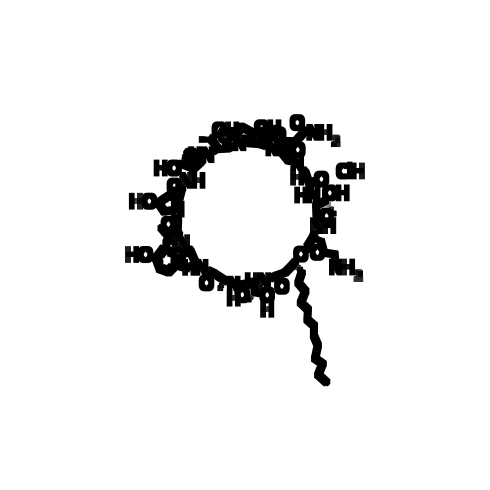 CCCCCCCCCCCCC[C@@H]1CC(=O)N[C@H]([C@@H](C)O)C(=O)N[C@H](C)C(=O)N[C@@H](Cc2ccc(O)cc2)C(=O)N[C@@H](C(C)C)C(=O)N2C[C@H](O)C[C@H]2C(=O)N[C@H]([C@@H](C)O)C(=O)N[C@@H]([C@@H](C)O)C(=O)N2CC[C@H](O)[C@H]2C(=O)N[C@@H]([C@H](O)CC(N)=O)C(=O)NCC(=O)N[C@H]([C@@H](C)O)C(=O)N[C@@H](CCCN)C(=O)O1.Cl